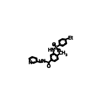 CCc1ccc(S(=O)(=O)Nc2cc(C(=O)NCc3cccnc3)ccc2C)cc1